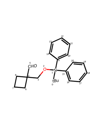 CC(C)(C)[Si](OCC1(C=O)CCC1)(c1ccccc1)c1ccccc1